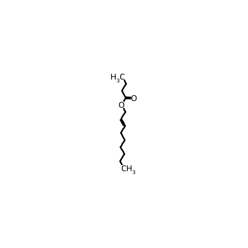 CCCCCCC=CCOC(=O)CCC